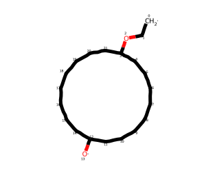 [CH2]COC1CCCCCCCCC([O])CCCCCCCC1